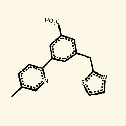 Cc1ccc(-c2cc(Cc3nccs3)cc(C(=O)O)c2)nc1